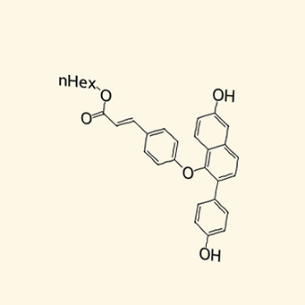 CCCCCCOC(=O)C=Cc1ccc(Oc2c(-c3ccc(O)cc3)ccc3cc(O)ccc23)cc1